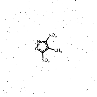 Cc1c([N+](=O)[O-])noc1[N+](=O)[O-]